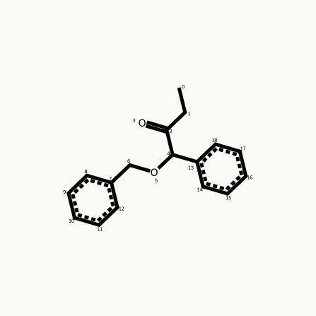 CCC(=O)C(OCc1ccccc1)c1ccccc1